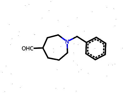 O=CC1CCCN(Cc2ccccc2)CC1